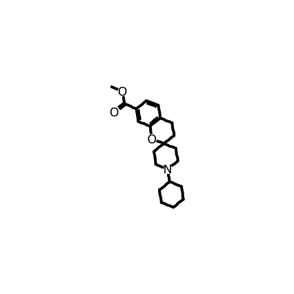 COC(=O)c1ccc2c(c1)OC1(CC2)CCN(C2CCCCC2)CC1